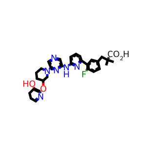 CC(C)(Cc1ccc(F)c(-c2cccc(Nc3cncc(N4CCCC(OC5=C(O)CCC=N5)C4)n3)n2)c1)C(=O)O